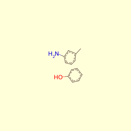 Cc1cccc(N)c1.Oc1ccccc1